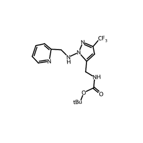 CC(C)(C)OC(=O)NCc1cc(C(F)(F)F)nn1NCc1ccccn1